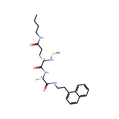 CCCCNC(=O)CC[C@H](NSI)C(=O)N[C@@H](C)C(=O)NCCc1cccc2ccccc12